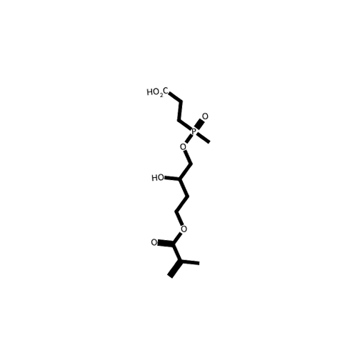 C=C(C)C(=O)OCCC(O)COP(C)(=O)CCC(=O)O